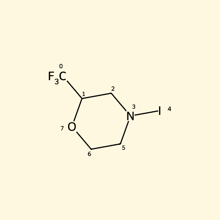 FC(F)(F)C1CN(I)CCO1